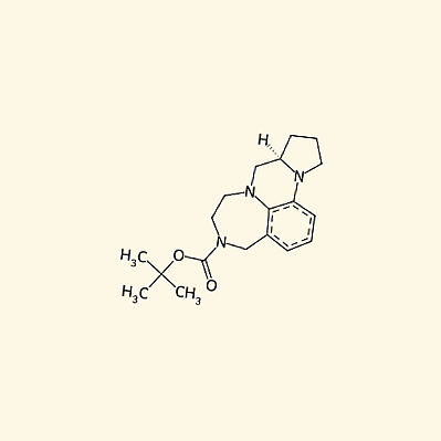 CC(C)(C)OC(=O)N1CCN2C[C@H]3CCCN3c3cccc(c32)C1